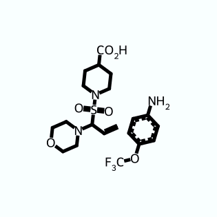 C=CC(N1CCOCC1)S(=O)(=O)N1CCC(C(=O)O)CC1.Nc1ccc(OC(F)(F)F)cc1